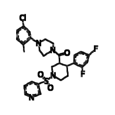 Cc1ccc(Cl)cc1N1CCN(C(=O)C2CN(S(=O)(=O)c3cccnc3)CCC2c2ccc(F)cc2F)CC1